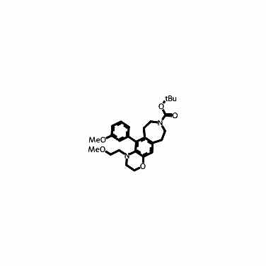 COCCN1CCOc2cc3c(c(-c4cccc(OC)c4)c21)CCN(C(=O)OC(C)(C)C)CC3